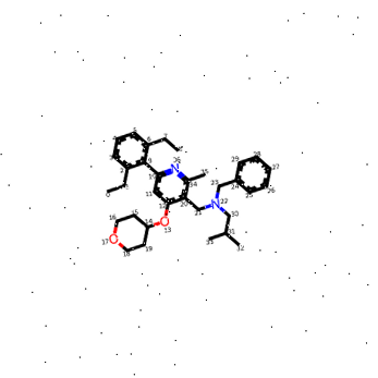 CCc1cccc(CC)c1-c1cc(OC2CCOCC2)c(CN(Cc2ccccc2)CC(C)C)c(C)n1